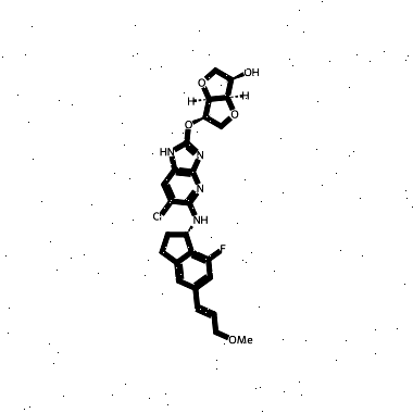 COC/C=C/c1cc(F)c2c(c1)CC[C@@H]2Nc1nc2nc(O[C@@H]3CO[C@H]4[C@@H]3OC[C@H]4O)[nH]c2cc1Cl